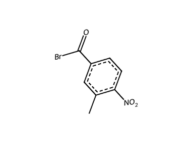 Cc1cc(C(=O)Br)ccc1[N+](=O)[O-]